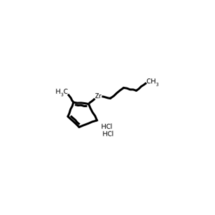 CCC[CH2][Zr][C]1=C(C)C=CC1.Cl.Cl